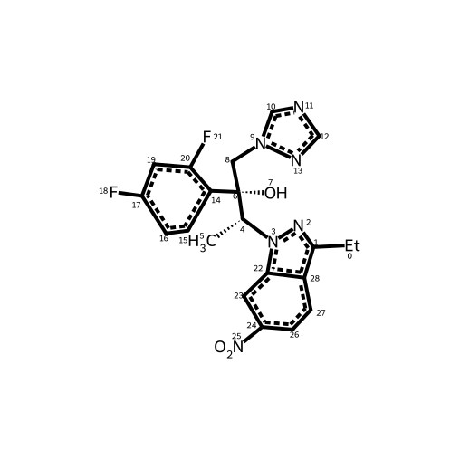 CCc1nn([C@H](C)[C@](O)(Cn2cncn2)c2ccc(F)cc2F)c2cc([N+](=O)[O-])ccc12